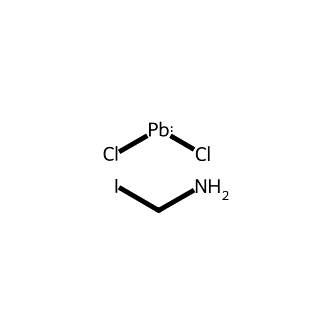 NCI.[Cl][Pb][Cl]